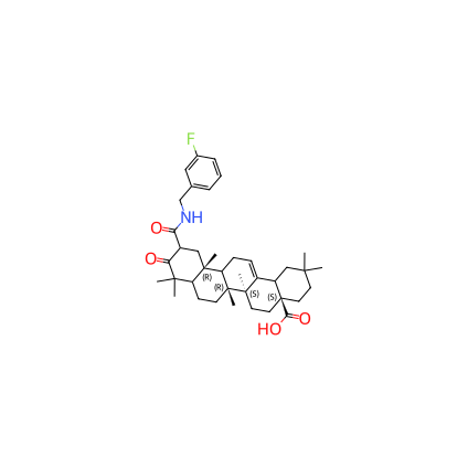 CC1(C)CC[C@]2(C(=O)O)CC[C@]3(C)C(=CCC4[C@@]5(C)CC(C(=O)NCc6cccc(F)c6)C(=O)C(C)(C)C5CC[C@]43C)C2C1